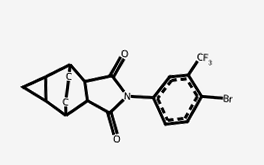 O=C1C2C3CCC(C4CC43)C2C(=O)N1c1ccc(Br)c(C(F)(F)F)c1